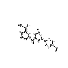 CCN1CCC(c2cc(C)nc(Nc3cc(C(F)F)ccn3)c2)CC1